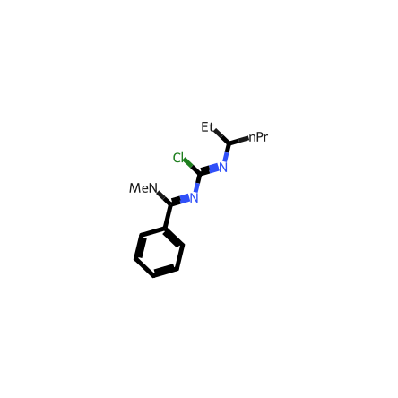 CCCC(CC)N=C(Cl)/N=C(\NC)c1ccccc1